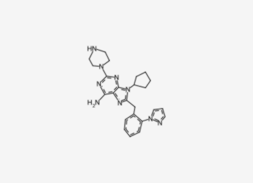 Nc1nc(N2CCNCC2)nc2c1nc(Cc1ccccc1-n1cccn1)n2C1CCCC1